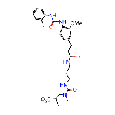 COc1cc(CCC(=O)NCCCNC(=O)N(C)CC(C)C(=O)O)ccc1NC(=O)Nc1ccccc1C